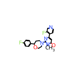 Cn1c(N2CCOC(c3ccc(F)cc3)CC2)nc(-c2ccncc2F)cc1=O